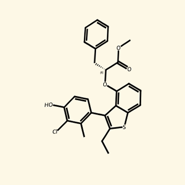 CCc1sc2cccc(O[C@H](Cc3ccccc3)C(=O)OC)c2c1-c1ccc(O)c(Cl)c1C